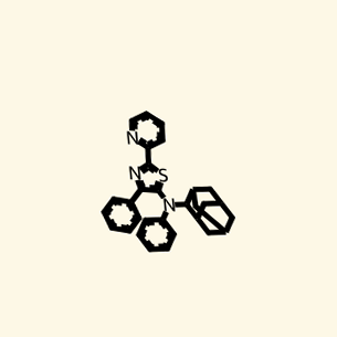 c1ccc(-c2nc(-c3ccccn3)sc2N(c2ccccc2)C2C3CC4CC(C3)CC2C4)cc1